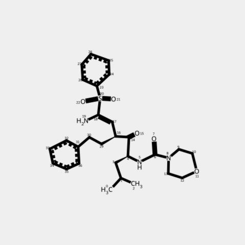 CC(C)C[C@H](NC(=O)N1CCOCC1)C(=O)[C@H](/C=C(\N)S(=O)(=O)c1ccccc1)CCc1ccccc1